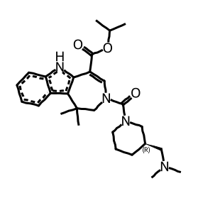 CC(C)OC(=O)C1=CN(C(=O)N2CCC[C@H](CN(C)C)C2)CC(C)(C)c2c1[nH]c1ccccc21